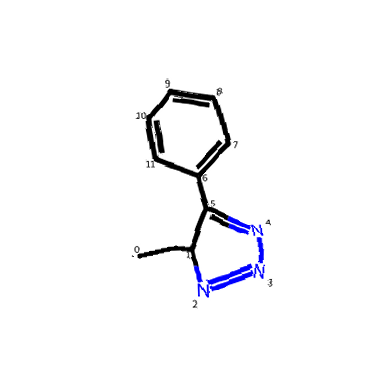 [CH2]C1N=NN=C1c1ccccc1